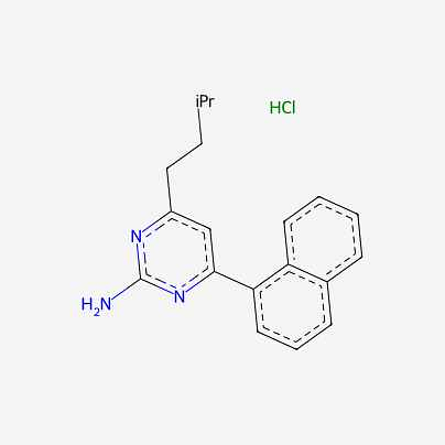 CC(C)CCc1cc(-c2cccc3ccccc23)nc(N)n1.Cl